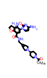 COC(=O)N1CCC(N2CC3C(CNC(=O)c4cc(-n5ccc(N)nc5=O)c(N)c5c4OCC5)C3C2)CC1